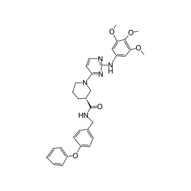 COc1cc(Nc2nccc(N3CCC[C@H](C(=O)NCc4ccc(Oc5ccccc5)cc4)C3)n2)cc(OC)c1OC